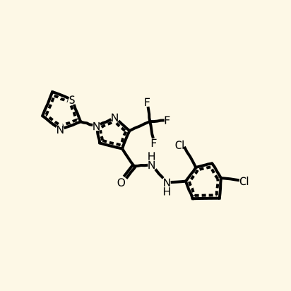 O=C(NNc1ccc(Cl)cc1Cl)c1cn(-c2nccs2)nc1C(F)(F)F